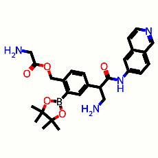 CC1(C)OB(c2cc(C(CN)C(=O)Nc3ccc4cnccc4c3)ccc2COC(=O)CN)OC1(C)C